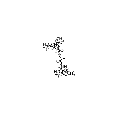 COC(=O)CC[C@H](NC(=O)OC(C)(C)C)C(=O)SCCNC(=O)CCNC(=O)[C@@H]1OC(C)(C)OCC1(C)C